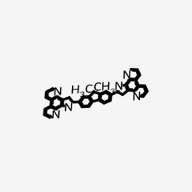 CC1(C)c2cc(C3=Nc4c(c5ncccc5c5cccnc45)C3)ccc2-c2ccc(C3=Nc4c(c5ncccc5c5cccnc45)C3)cc21